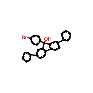 OC1(c2ccc(Br)cc2)c2cc(-c3ccccc3)ccc2-c2ccc(-c3ccccc3)cc21